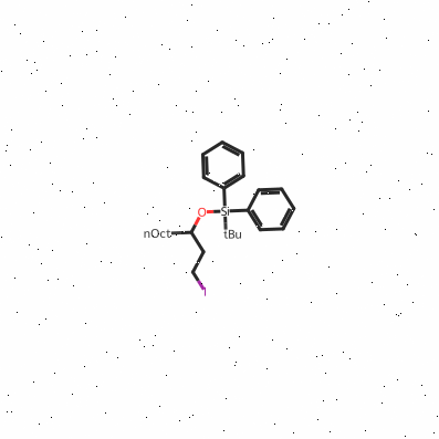 CCCCCCCCC(CCI)O[Si](c1ccccc1)(c1ccccc1)C(C)(C)C